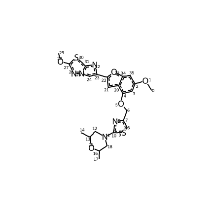 COc1cc(OCc2csc(N3CC(C)OC(C)C3)n2)c2cc(-c3cn4nc(OC)sc4n3)oc2c1